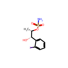 C[C@H](OS(N)(=O)=O)[C@@H](O)c1ccccc1I